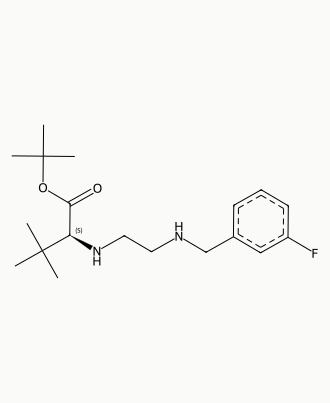 CC(C)(C)OC(=O)[C@@H](NCCNCc1cccc(F)c1)C(C)(C)C